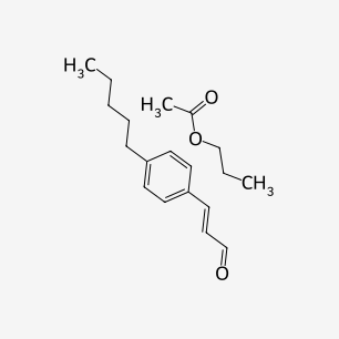 CCCCCc1ccc(C=CC=O)cc1.CCCOC(C)=O